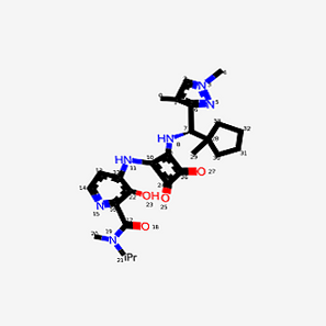 Cc1cn(C)nc1[C@H](Nc1c(Nc2ccnc(C(=O)N(C)C(C)C)c2O)c(=O)c1=O)C1(C)CCCC1